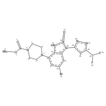 CC(C)(C)OC(=O)N1CCN(c2cc(Br)cc3c2[nH]c(=O)n3-c2nnc(C(F)F)s2)CC1